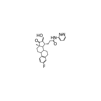 C[C@]12CCC3c4ccc(F)cc4CCC3C1[C@H](CCC(=O)Nc1cccnn1)/C(=C/O)C2=O